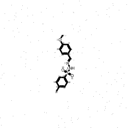 COc1ccc(C=NNS(=O)(=O)c2ccc(C)cc2)cc1